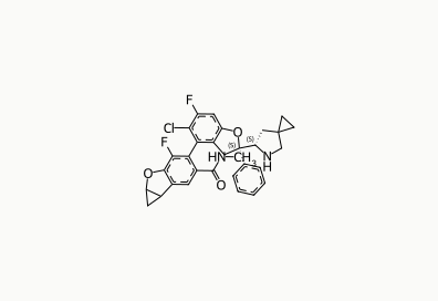 CNC(=O)c1cc2c(c(F)c1-c1c(Cl)c(F)cc3c1C[C@](c1ccccc1)([C@@H]1CC4(CC4)CN1)O3)OC1CC21